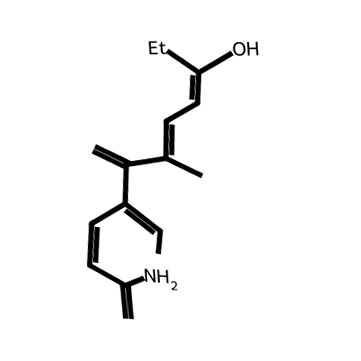 C=C(N)/C=C\C(=C/C)C(=C)/C(C)=C/C=C(/O)CC